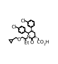 CC[C@@H](COCC1CC1)N1C(=O)[C@@H](CC(=O)O)C[C@H](c2cccc(Cl)c2)C1c1ccc(Cl)cc1